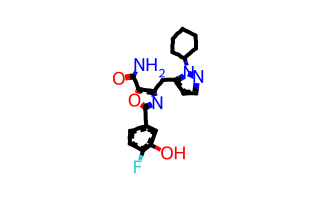 NC(=O)c1oc(-c2ccc(F)c(O)c2)nc1Cc1ccnn1C1CCCCC1